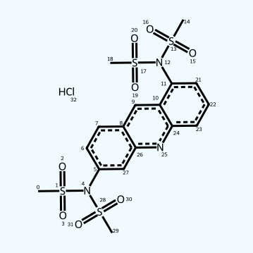 CS(=O)(=O)N(c1ccc2cc3c(N(S(C)(=O)=O)S(C)(=O)=O)cccc3nc2c1)S(C)(=O)=O.Cl